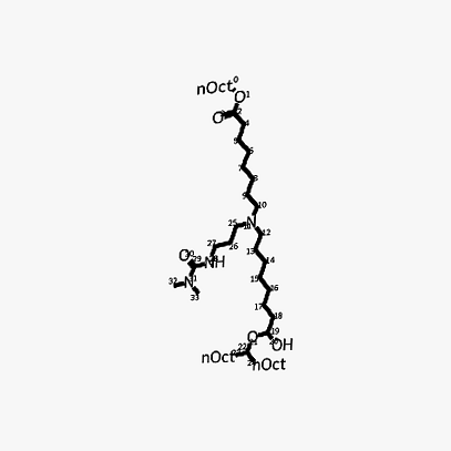 CCCCCCCCOC(=O)CCCCCCCN(CCCCCCCC(O)OC(CCCCCCCC)CCCCCCCC)CCCNC(=O)N(C)C